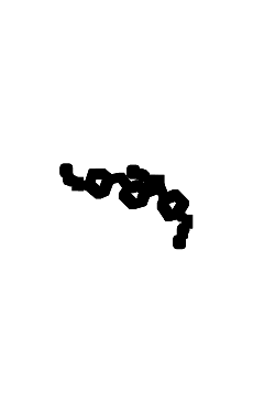 N=C=O.O=C=Nc1ccc(Cc2cccc(Cc3ccc(N=C=O)cc3)c2)cc1